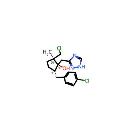 C[C@@]1(CCl)CC[C@@H](Cc2ccc(Cl)cc2)[C@@]1(O)Cc1nc[nH]n1